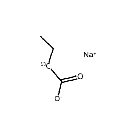 CC[13CH2]C(=O)[O-].[Na+]